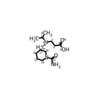 CC(C)N(C)CCC(=O)O.NC(=O)N1CCCCC1